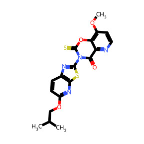 COc1ccnc2c(=O)n(-c3nc4ccc(OCC(C)C)nc4s3)c(=S)oc12